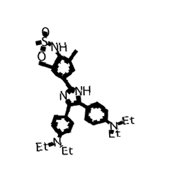 CCN(CC)c1ccc(-c2nc(-c3cc(C)c(NS(C)(=O)=O)c(C)c3)[nH]c2-c2ccc(N(CC)CC)cc2)cc1